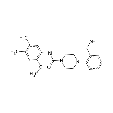 COc1nc(C)c(C)cc1NC(=O)N1CCN(c2ccccc2CS)CC1